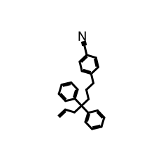 C=CCC(CCCc1ccc(C#N)cc1)(c1ccccc1)c1ccccc1